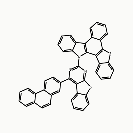 c1ccc2c(c1)ccc1cc(-c3nc(-n4c5ccccc5c5c6ccccc6c6sc7ccccc7c6c54)nc4sc5ccccc5c34)ccc12